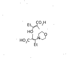 CC/C(=C(/C)C(=O)O)N1CCOCC1.CC/C(O)=C(/C)C(=O)O